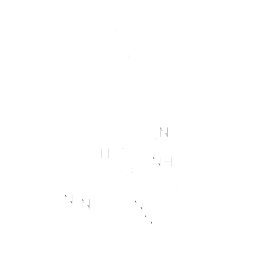 Cc1cc(C#Cc2ccccc2)cnc1NC(=O)c1c(Cl)cnn1C1CCn2nccc2C1